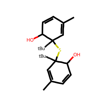 CC1=CC(SC2(C(C)(C)C)C=C(C)C=CC2O)(C(C)(C)C)C(O)C=C1